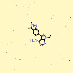 [CH2]Cn1nc(-c2ccc3c(C)n(C)nc3c2)c2c(N)ncnc21